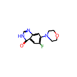 O=c1[nH]cnc2cc(N3CCOCC3)c(F)cc12